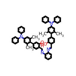 Cc1cc(N(c2ccccc2)c2ccccc2)cc(C)c1-c1ccc(/C=N/c2ccccc2/N=C/c2ccc(-c3c(C)cc(N(c4ccccc4)c4ccccc4)cc3C)cc2O)c(O)c1